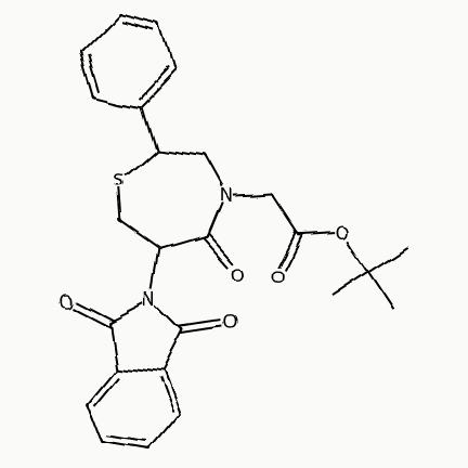 CC(C)(C)OC(=O)CN1CC(c2ccccc2)SCC(N2C(=O)c3ccccc3C2=O)C1=O